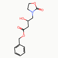 O=C(CC(O)CN1CCOC1=O)OCc1ccccc1